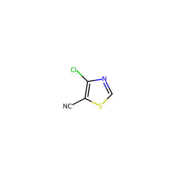 N#Cc1scnc1Cl